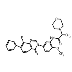 CC(C(=O)Nc1cc(-n2cnc3c(F)c(-c4ccccc4)ccc3c2=O)ccc1OC(F)(F)F)N1CCOCC1